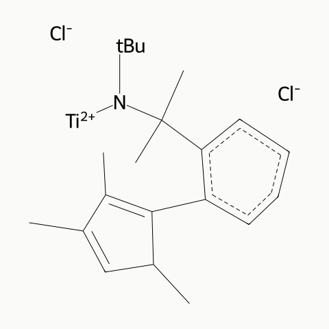 CC1=CC(C)C(c2ccccc2C(C)(C)[N]([Ti+2])C(C)(C)C)=C1C.[Cl-].[Cl-]